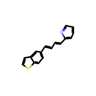 C(/C=C/c1ccccn1)=C\c1ccc2sccc2c1